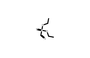 CCOP(=S)(C=S)OCC